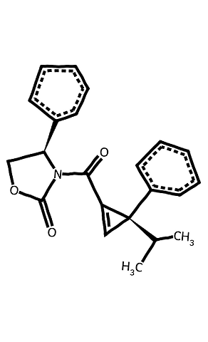 CC(C)[C@@]1(c2ccccc2)C=C1C(=O)N1C(=O)OC[C@H]1c1ccccc1